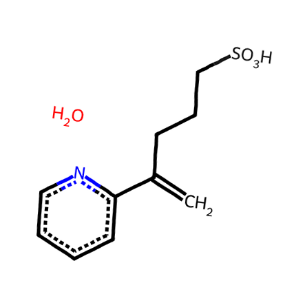 C=C(CCCS(=O)(=O)O)c1ccccn1.O